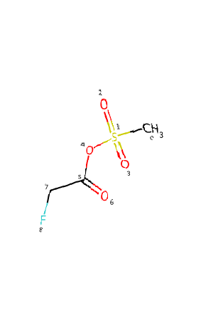 CS(=O)(=O)OC(=O)CF